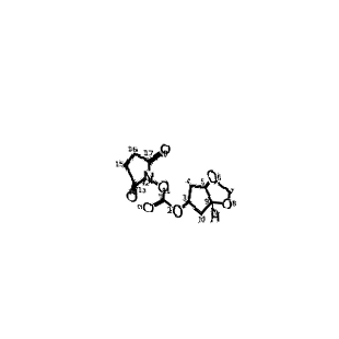 O=C(OC1CC2OCO[C@@H]2C1)ON1C(=O)CCC1=O